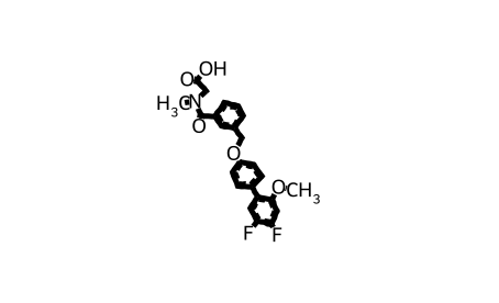 COc1cc(F)c(F)cc1-c1ccc(OCc2cccc(C(=O)N(C)CC(=O)O)c2)cc1